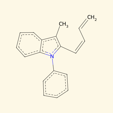 C=C/C=C\c1c(C)c2ccccc2n1-c1ccccc1